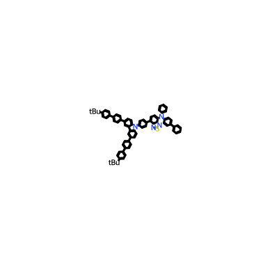 CC(C)(C)c1ccc(-c2ccc(-c3ccc4c(c3)c3cc(-c5ccc(-c6ccc(C(C)(C)C)cc6)cc5)ccc3n4-c3ccc(-c4ccc(N(c5ccccc5)c5ccc(-c6ccccc6)cc5)c5nsnc45)cc3)cc2)cc1